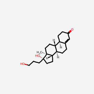 C[C@]12CC[C@H]3[C@@H](CCC4=CC(=O)CC[C@@H]43)[C@@H]1CC[C@@]2(O)CCCO